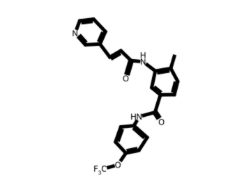 Cc1ccc(C(=O)Nc2ccc(OC(F)(F)F)cc2)cc1NC(=O)C=Cc1cccnc1